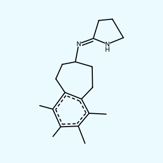 Cc1c(C)c(C)c2c(c1C)CCC(/N=C1/CCCN1)CC2